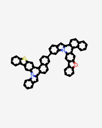 c1ccc2c(c1)ccc1c2c2cc3oc4ccccc4c3cc2n2c3cc(-c4ccc5c(ccc6c5c5cc7sc8ccccc8c7cc5n5c7ccccc7cc65)c4)ccc3cc12